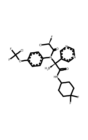 B[C@](C(=O)NC1CCC(F)(F)CC1)(c1cncnc1)N(C(=O)[C@H](F)Cl)c1ccc(OC(F)(F)Cl)cc1